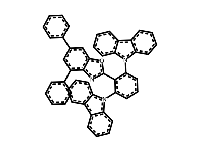 c1ccc(-c2cc(-c3ccccc3)c3nc(-c4c(-n5c6ccccc6c6ccccc65)cccc4-n4c5ccccc5c5ccccc54)oc3c2)cc1